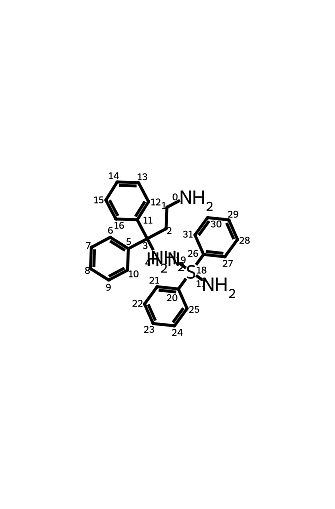 NCCC(N)(c1ccccc1)c1ccccc1.NS(N)(c1ccccc1)c1ccccc1